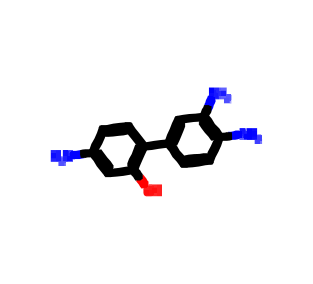 Nc1ccc(-c2ccc(N)c(N)c2)c(O)c1